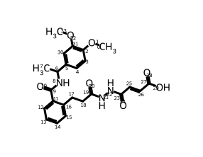 COc1ccc(C(C)NC(=O)c2ccccc2CCC(=O)NNC(=O)/C=C/C(=O)O)cc1OC